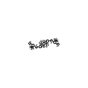 O=c1c2cc(-c3ccc(-c4ccc(-c5cccs5)c5nsnc45)s3)ccc2[nH]c2cc3c(=O)c4cc(-c5ccc(-c6ccc(-c7cccs7)c7nsnc67)s5)ccc4[nH]c3cc12